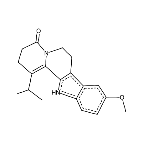 COc1ccc2[nH]c3c(c2c1)CCN1C(=O)CCC(C(C)C)=C31